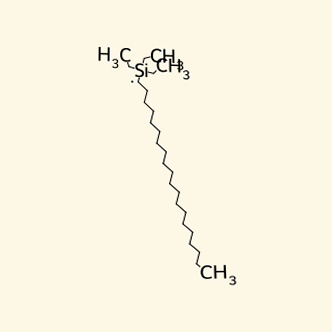 CCCCCCCCCCCCCCCCCCC[CH][Si](CC)(CC)CC